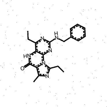 CCc1nc(NCc2ccccc2)nc2c1[nH]c(=O)c1c(C)nc(CC)n12